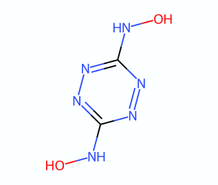 ONc1nnc(NO)nn1